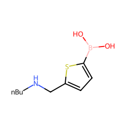 CCCCNCc1ccc(B(O)O)s1